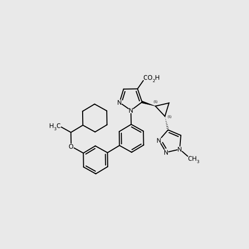 CC(Oc1cccc(-c2cccc(-n3ncc(C(=O)O)c3[C@H]3C[C@@H]3c3cn(C)nn3)c2)c1)C1CCCCC1